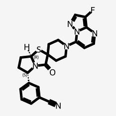 N#Cc1cccc([C@@H]2CC[C@H]3SC4(CCN(c5ccnc6c(F)cnn56)CC4)C(=O)N32)c1